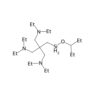 CCC(CC)O[SiH2]CC(CN(CC)CC)(CN(CC)CC)CN(CC)CC